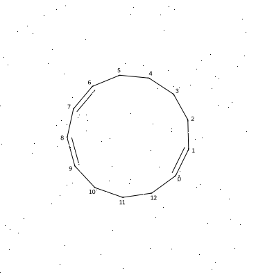 [C]1=CCCCCC=CC=CCCC1